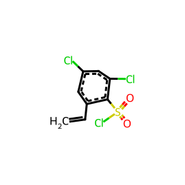 C=Cc1cc(Cl)cc(Cl)c1S(=O)(=O)Cl